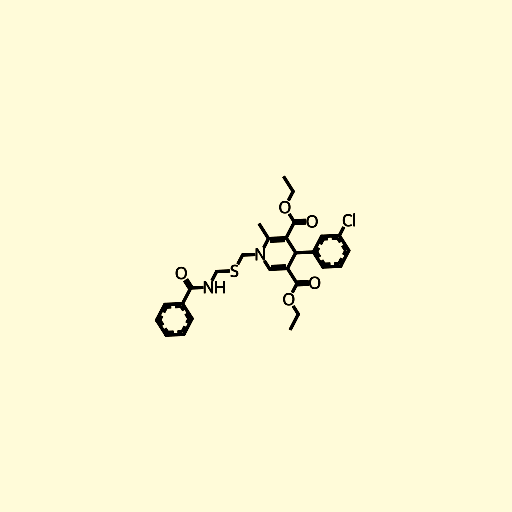 CCOC(=O)C1=CN(CSCNC(=O)c2ccccc2)C(C)=C(C(=O)OCC)C1c1cccc(Cl)c1